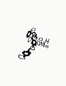 COc1cc(OCc2ccc(Cl)cc2)cc(C(=O)N2C(C(=O)O)CCC2c2ccccc2Cl)c1